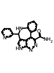 NC(=O)c1nnc2[nH]cc3c2c1-c1ccccc1NC3c1cccnc1